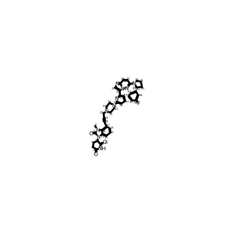 Cn1c(=O)n(C2CCC(=O)NC2=O)c2cccc(C#CCN3CCN(c4cccc(-c5cnc6ccc(N7CCC[C@@H]7c7cccc(F)c7)nn56)n4)CC3)c21